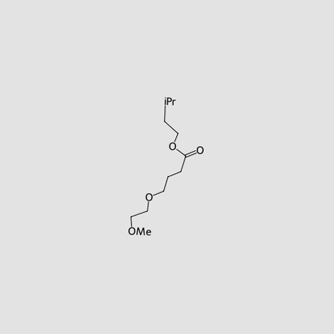 COCCOCCCC(=O)OCCC(C)C